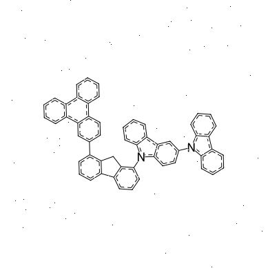 c1cc(-c2ccc3c4ccccc4c4ccccc4c3c2)c2c(c1)-c1cccc(-n3c4ccccc4c4cc(-n5c6ccccc6c6ccccc65)ccc43)c1C2